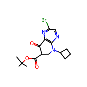 CC(C)(C)OC(=O)C1CN(C2CCC2)c2ncc(Br)nc2C1=O